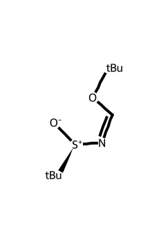 CC(C)(C)O/C=N\[S@+]([O-])C(C)(C)C